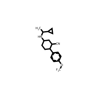 CC(NC1CCC(c2c[c]c(OC(F)(F)F)cc2)C(C#N)C1)C1CC1